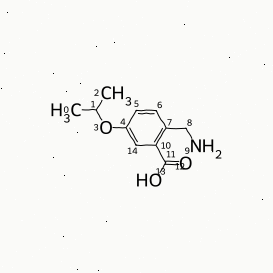 CC(C)Oc1ccc(CN)c(C(=O)O)c1